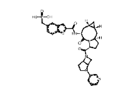 O=C(N[C@H]1C[C@@H]2C[C@@H]2C[C@H]2CC[C@@H](C(=O)N3CC4C3CCN4c3cccnc3)N2C1=O)c1cc2cc(CP(=O)(O)O)ccc2s1